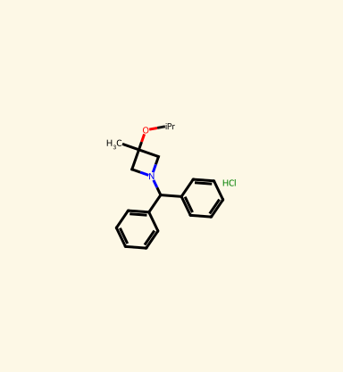 CC(C)OC1(C)CN(C(c2ccccc2)c2ccccc2)C1.Cl